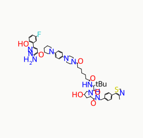 Cc1ncsc1-c1ccc(CNC(=O)C2CC(O)CN2C(=O)C(NC(=O)CCCCCC(=O)N2CCN(c3ccc(N4CCCC(Oc5cc(-c6cc(F)ccc6O)nnc5N)C4)cc3)CC2)C(C)(C)C)cc1